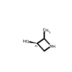 CC1NC[C@H]1O